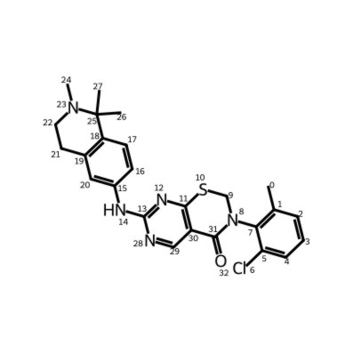 Cc1cccc(Cl)c1N1CSc2nc(Nc3ccc4c(c3)CCN(C)C4(C)C)ncc2C1=O